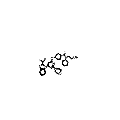 O=C([C@H]1CC[C@H](Oc2cc(-n3c(C(F)F)nc4ccccc43)nc(N3CCOCC3)n2)CC1)N(CCO)C1CCCCC1